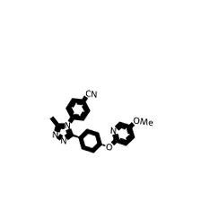 COc1ccc(O[C@H]2CC[C@H](c3nnc(C)n3-c3ccc(C#N)cc3)CC2)nc1